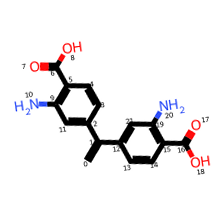 C=C(c1ccc(C(=O)O)c(N)c1)c1ccc(C(=O)O)c(N)c1